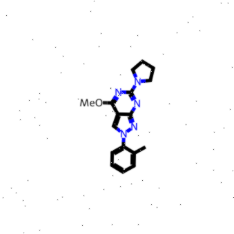 COc1nc(N2CCCC2)nc2nn(-c3ccccc3C)cc12